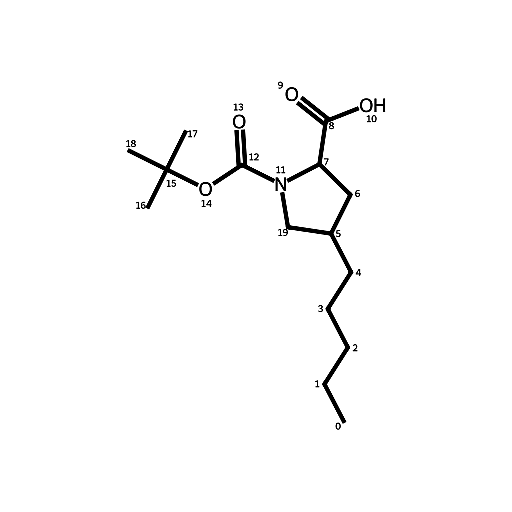 CCCCCC1CC(C(=O)O)N(C(=O)OC(C)(C)C)C1